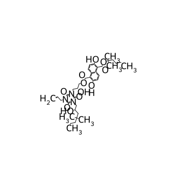 C=CCn1c(=O)n(CC(O)COC(=O)c2c(O)ccc3c(C(=O)OC(C)(C)CCCC)c(O)ccc23)c(=O)n(CC(O)CC(C)(C)CCC)c1=O